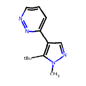 Cn1ncc(-c2cccnn2)c1C(C)(C)C